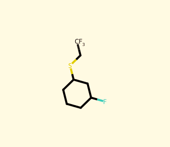 FC1CCCC(SCC(F)(F)F)C1